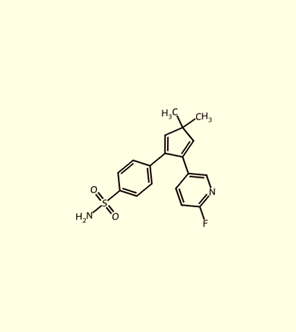 CC1(C)C=C(c2ccc(S(N)(=O)=O)cc2)C(c2ccc(F)nc2)=C1